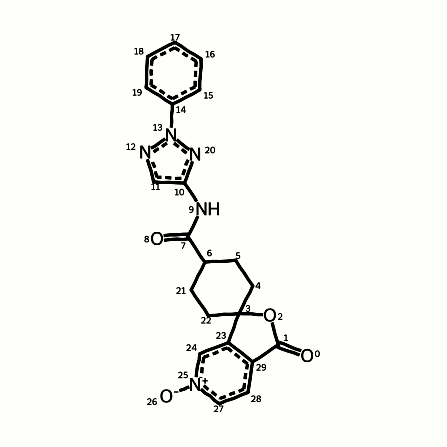 O=C1OC2(CCC(C(=O)Nc3cnn(-c4ccccc4)n3)CC2)c2c[n+]([O-])ccc21